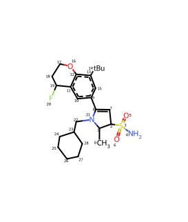 CC1C(S(N)(=O)=O)C=C(c2cc3c(c(C(C)(C)C)c2)OCCC3F)N1CC1CCCCC1